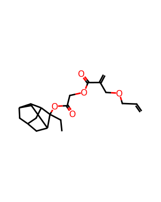 C=CCOCC(=C)C(=O)OCC(=O)OC1(CC)C2CC3CC(C2)CC1C3